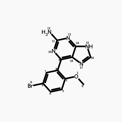 COc1ccc(Br)cc1-c1nc(N)nc2[nH]cnc12